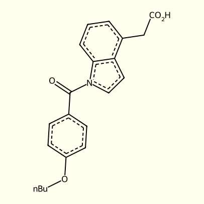 CCCCOc1ccc(C(=O)n2ccc3c(CC(=O)O)cccc32)cc1